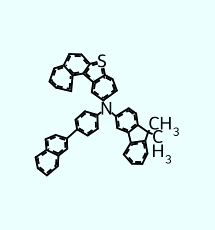 CC1(C)c2ccccc2-c2cc(N(c3ccc(-c4ccc5ccccc5c4)cc3)c3ccc4sc5ccc6ccccc6c5c4c3)ccc21